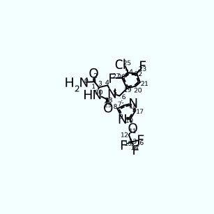 NC(=O)C1CN([C@@H](c2cnc(OCC(F)(F)F)cn2)c2ccc(F)c(Cl)c2F)C(=O)N1